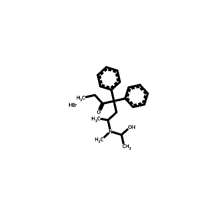 Br.CCC(=O)C(CC(C)N(C)C(C)O)(c1ccccc1)c1ccccc1